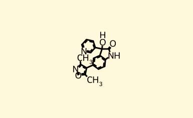 Cc1noc(C)c1-c1ccc2c(c1)C(O)(c1cccnc1)C(=O)N2